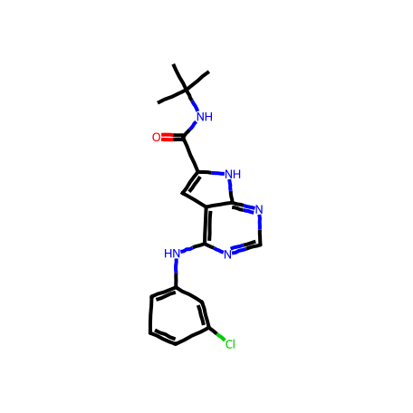 CC(C)(C)NC(=O)c1cc2c(Nc3cccc(Cl)c3)ncnc2[nH]1